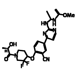 C=C(NC(C)Nc1nccc(-c2ccc(OC3CCN(C(=O)[C@@H](C)O)CC3(F)F)c(C#N)c2)n1)OC